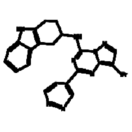 CC(C)c1cnn2c(NC3CCc4[nH]c5ccccc5c4C3)nc(-c3ccnnc3)nc12